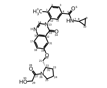 Cc1ccc(C(=O)NC2CC2)cc1-n1cnc2ccc(OC[C@@H]3CCCN3C(=O)CO)cc2c1=O